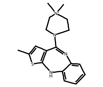 Cc1cc2c(s1)Nc1ccccc1N=C2N1CC[N+](C)(C)CC1